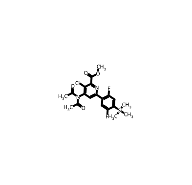 COC(=O)c1nc(-c2cc(F)c([Si](C)(C)C)cc2F)cc(N(C(C)=O)C(C)=O)c1Cl